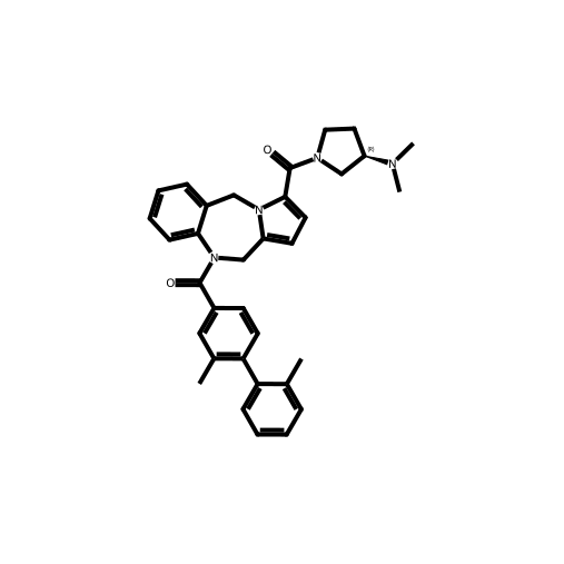 Cc1ccccc1-c1ccc(C(=O)N2Cc3ccc(C(=O)N4CC[C@@H](N(C)C)C4)n3Cc3ccccc32)cc1C